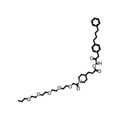 CCCOCCOCCOCCOCCOCC(=O)N1CCC(CCC(=O)ONC(=O)Cc2ccc(CCCCc3ccccc3)cc2)CC1